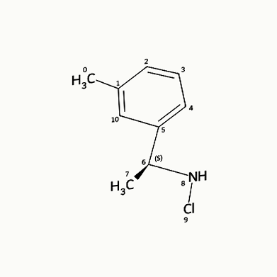 Cc1cccc([C@H](C)NCl)c1